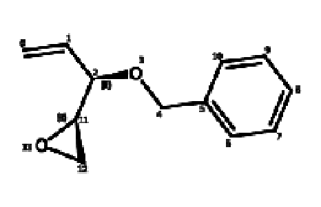 C=C[C@@H](OCc1ccccc1)[C@H]1CO1